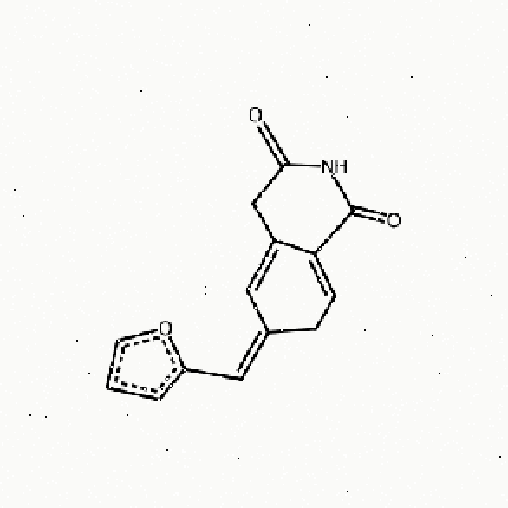 O=C1CC2=CC(=Cc3ccco3)CC=C2C(=O)N1